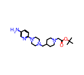 CC(C)(C)OC(=O)CN1CCC(CN2CCN(c3ccc(N)cn3)CC2)CC1